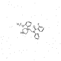 COc1ccccc1[N+]1(CCN(C(=O)c2ccccc2F)c2ccccn2)CCNCC1